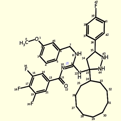 COc1cccc(CN/C(=N/C(=O)c2cc(F)c(F)c(F)c2)NC2(C3CCCCCCCCC3)CC(c3ccc(F)cc3)NN2)c1